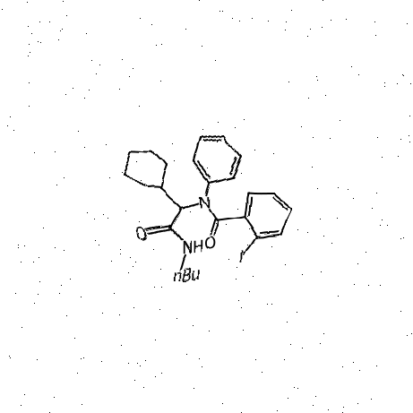 CCCCNC(=O)C(C1CCCCC1)N(C(=O)c1ccccc1I)c1ccccc1